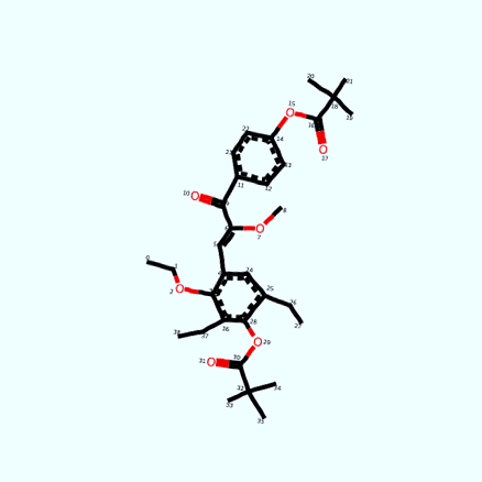 CCOc1c(C=C(OC)C(=O)c2ccc(OC(=O)C(C)(C)C)cc2)cc(CC)c(OC(=O)C(C)(C)C)c1CC